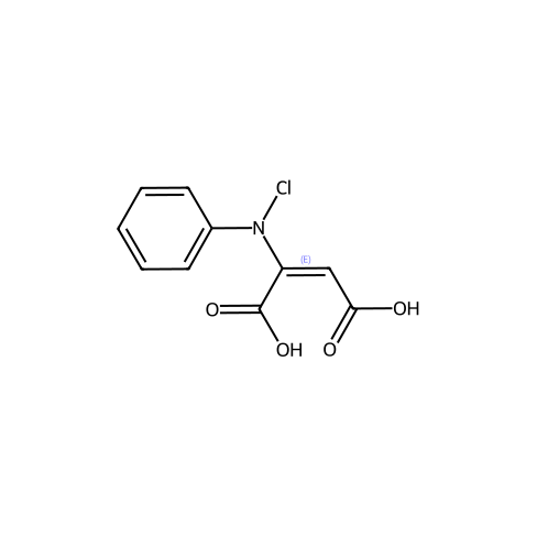 O=C(O)/C=C(\C(=O)O)N(Cl)c1ccccc1